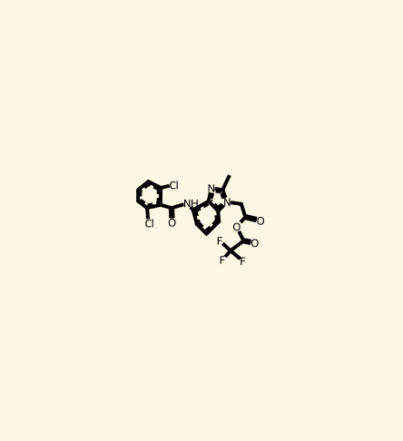 Cc1nc2c(NC(=O)c3c(Cl)cccc3Cl)cccc2n1CC(=O)OC(=O)C(F)(F)F